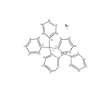 [Br-].c1ccc(Oc2ccccc2[P+](c2ccccc2)(c2ccccc2)c2ccccc2)cc1